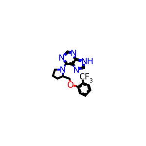 FC(F)(F)c1ccccc1OCC1CCCN1c1ncnc2[nH]cnc12